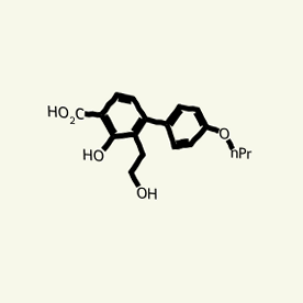 CCCOc1ccc(-c2ccc(C(=O)O)c(O)c2CCO)cc1